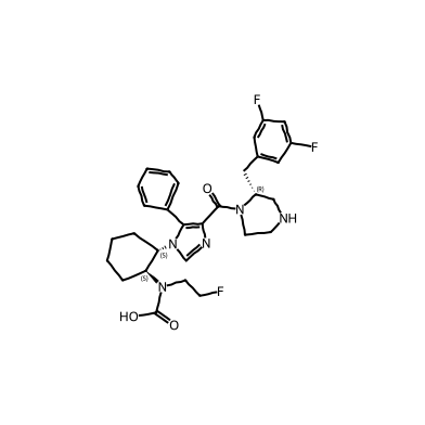 O=C(c1ncn([C@H]2CCCC[C@@H]2N(CCF)C(=O)O)c1-c1ccccc1)N1CCNC[C@H]1Cc1cc(F)cc(F)c1